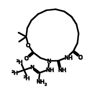 [2H]C([2H])([2H])N=C(N)NN1CC(=O)OC(C)(C)CCCCCCCCCCC(=O)NC1=N